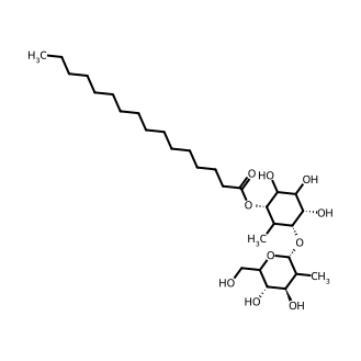 CCCCCCCCCCCCCCCC(=O)O[C@@H]1C(O)C(O)[C@H](O)[C@H](O[C@H]2OC(CO)[C@@H](O)[C@H](O)C2C)C1C